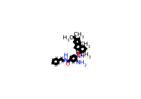 CC(C)c1ccc2c(c1)CC[C@H]1[C@@](C)(CNc3ccc(C(=O)NCCC4CCCCC4)cc3N)CCC[C@]21C